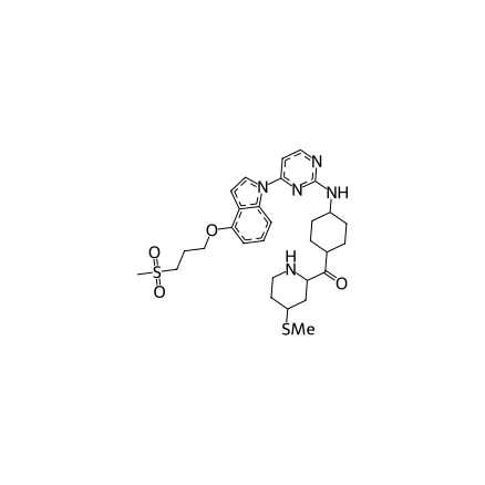 CSC1CCNC(C(=O)C2CCC(Nc3nccc(-n4ccc5c(OCCCS(C)(=O)=O)cccc54)n3)CC2)C1